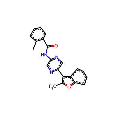 Cc1ccccc1C(=O)Nc1cnc(-c2c(C(F)(F)F)oc3ccccc23)cn1